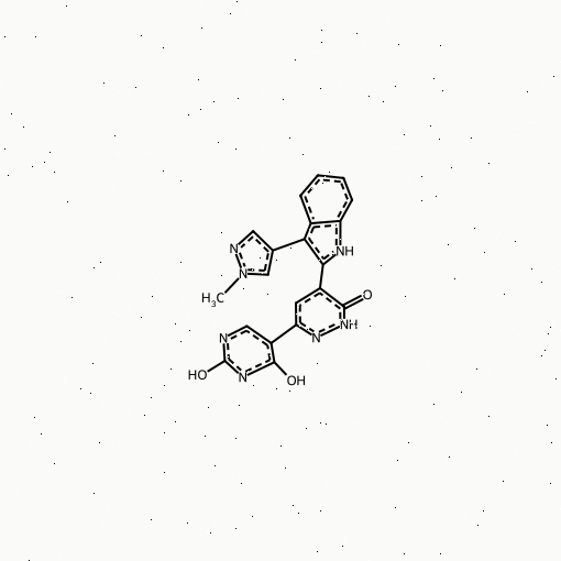 Cn1cc(-c2c(-c3cc(-c4cnc(O)nc4O)n[nH]c3=O)[nH]c3ccccc23)cn1